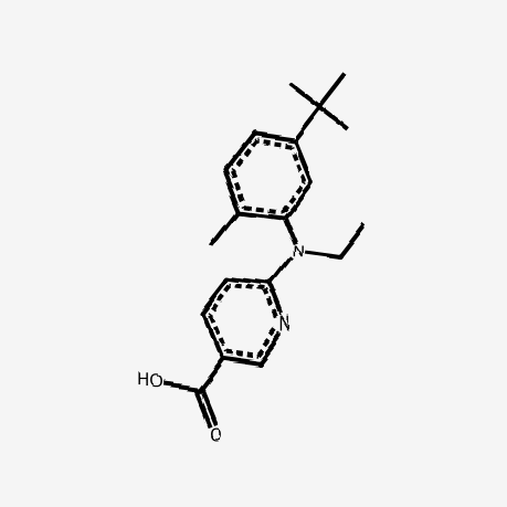 CCN(c1ccc(C(=O)O)cn1)c1cc(C(C)(C)C)ccc1C